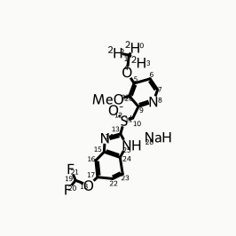 [2H]C([2H])([2H])Oc1ccnc(C[S@+]([O-])c2nc3cc(OC(F)F)ccc3[nH]2)c1OC.[NaH]